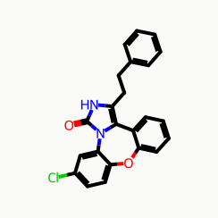 O=c1[nH]c(CCc2ccccc2)c2n1-c1cc(Cl)ccc1Oc1ccccc1-2